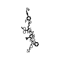 CCOC(=O)c1nc(N(C)c2cc(C3CC3)c(/N=c3\sc4ccccc4n3COCC[Si](C)(C)C)nn2)sc1CCCOc1ccc(C#CCN(C)C)cc1F